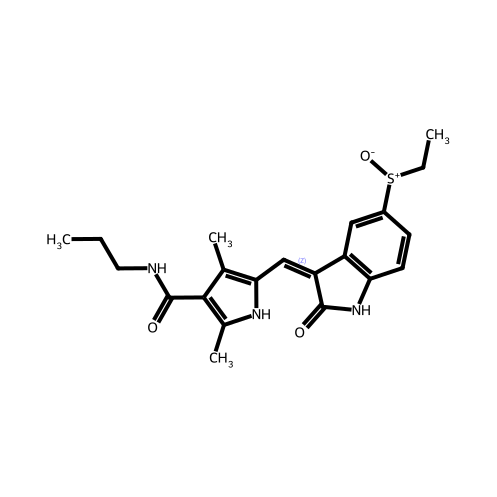 CCCNC(=O)c1c(C)[nH]c(/C=C2\C(=O)Nc3ccc([S+]([O-])CC)cc32)c1C